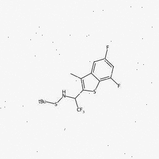 Cc1c(C(NSC(C)(C)C)C(F)(F)F)sc2c(F)cc(F)cc12